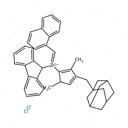 CC1=[C](/[Zr+2](=[CH]/c2cccc3ccccc23)[CH]2c3ccccc3-c3ccccc32)C(C)C=C1CC12CC3CC(CC(C3)C1)C2.[Cl-].[Cl-]